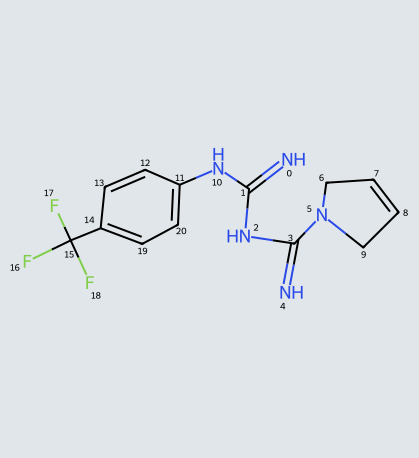 N=C(NC(=N)N1CC=CC1)Nc1ccc(C(F)(F)F)cc1